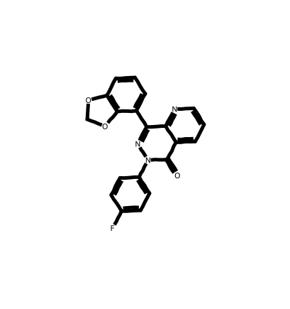 O=c1c2cccnc2c(-c2cccc3c2OCO3)nn1-c1ccc(F)cc1